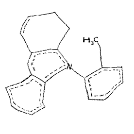 Cc1ccccc1-n1c2c(c3ccccc31)C=CCC2